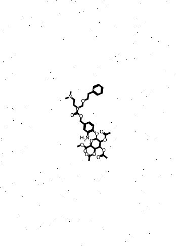 COC(=O)C1O[C@@H](Oc2ccc(COC(=O)N(CCN(C)C)COCCc3ccccc3)cc2N)C(OC(C)=O)[C@@H](OC(C)=O)C1OC(C)=O